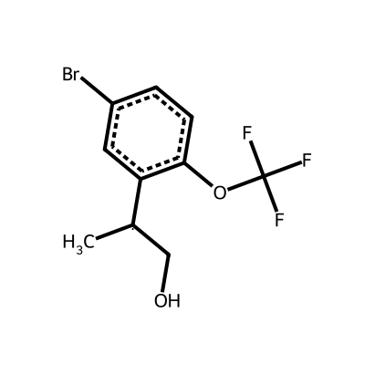 C[C](CO)c1cc(Br)ccc1OC(F)(F)F